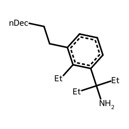 CCCCCCCCCCCCc1cccc(C(N)(CC)CC)c1CC